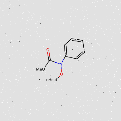 CCCCCCCON(C(=O)OC)c1ccccc1